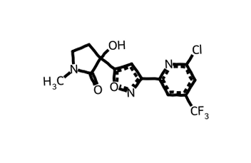 CN1CCC(O)(c2cc(-c3cc(C(F)(F)F)cc(Cl)n3)no2)C1=O